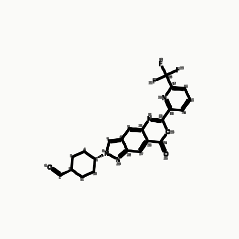 O=C[C@H]1CC[C@H](n2cc3cc4nc(-c5cccc(C(F)(F)F)n5)oc(=O)c4cc3n2)CC1